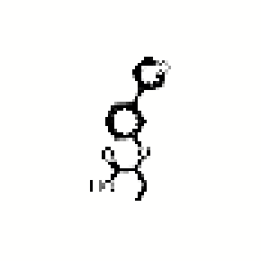 CCC(Oc1cccc(-c2ccoc2)c1)C(=O)O